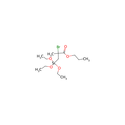 CCCOC(=O)C(C)(Br)C[Si](OCC)(OCC)OCC